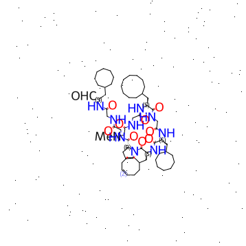 CNCC(=O)NCC(=O)N[C@@H](CC1CCCCCCCCC1)C(=O)NCC(=O)N[C@@H](CC1CCCCCCC1)C(=O)N[C@@H](CC1CC/C=C\CCC1)C(=O)N1CCC[C@@H]1C(=O)NCC(=O)NCC(=O)N[C@H](C=O)CC1CCCCCCC1